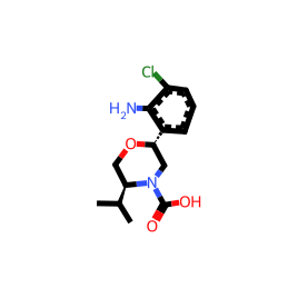 CC(C)[C@H]1CO[C@H](c2cccc(Cl)c2N)CN1C(=O)O